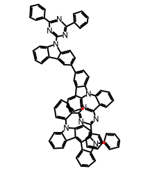 c1ccc(-c2nc(-c3ccccc3-n3c4ccccc4c4cc(-c5ccc6c(c5)c5ccccc5n6-c5nc(-c6ccccc6)nc(-c6ccccc6)n5)ccc43)nc(-c3ccccc3-n3c4ccccc4c4c5c6ccccc6n(-c6ccccc6)c5ccc43)n2)cc1